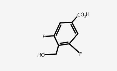 O=C(O)c1cc(F)c(CO)c(F)c1